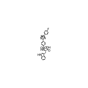 O=C(O)C(Cc1c[nH]c2ccccc12)NS(=O)(=O)c1ccc(-c2nnn(-c3ccc(F)cc3)n2)cc1